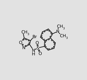 Cc1onc(NS(=O)(=O)c2cccc3c(N(C)C)cccc23)c1Br